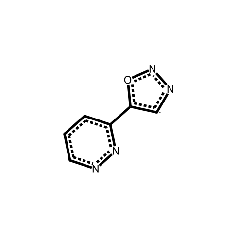 [c]1nnoc1-c1cccnn1